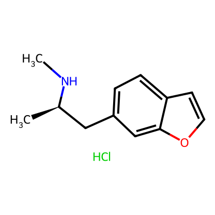 CN[C@H](C)Cc1ccc2ccoc2c1.Cl